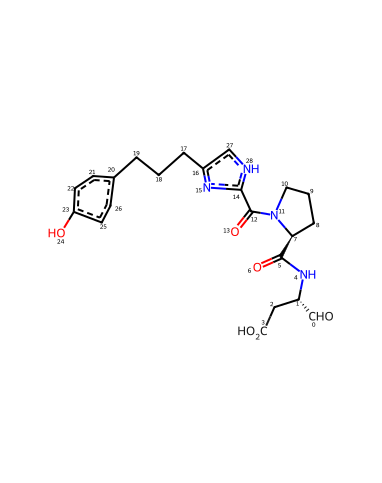 O=C[C@H](CC(=O)O)NC(=O)[C@@H]1CCCN1C(=O)c1nc(CCCc2ccc(O)cc2)c[nH]1